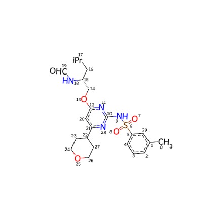 Cc1cccc(S(=O)(=O)Nc2nc(OC[C@@H](CC(C)C)NC=O)cc(C3CCOCC3)n2)c1